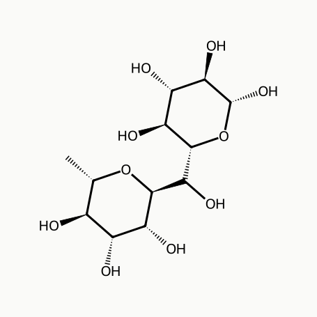 C[C@@H]1O[C@@H](C(O)[C@H]2O[C@@H](O)[C@H](O)[C@@H](O)[C@@H]2O)[C@H](O)[C@H](O)[C@H]1O